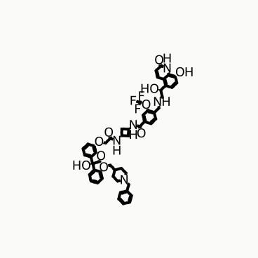 O=C(COc1cccc([C@](O)(C(=O)OCC2CCN(Cc3ccccc3)CC2)c2ccccc2)c1)N[C@H]1C[C@H](NC(=O)c2ccc(CNC[C@H](O)c3ccc(O)c4[nH]c(=O)ccc34)c(OC(F)(F)F)c2)C1